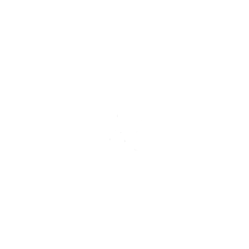 C=C(C)C(=O)OC1C2CC3C(=O)SC1C3C2